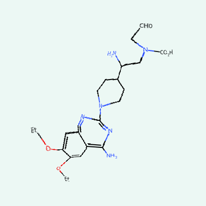 CCOc1cc2nc(N3CCC(C(N)CN(CC=O)C(=O)O)CC3)nc(N)c2cc1OCC